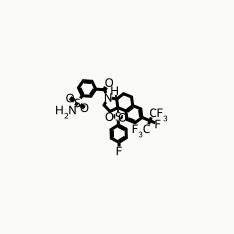 NS(=O)(=O)c1cccc(C(=O)N2CC[C@@]3(S(=O)(=O)c4ccc(F)cc4)c4ccc(C(F)(C(F)(F)F)C(F)(F)F)cc4CC[C@@H]23)c1